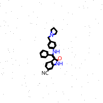 N#Cc1ccc2c(c1)NC(=O)/C2=C(\Nc1ccc(CN2CCCC2)cc1)c1ccccc1